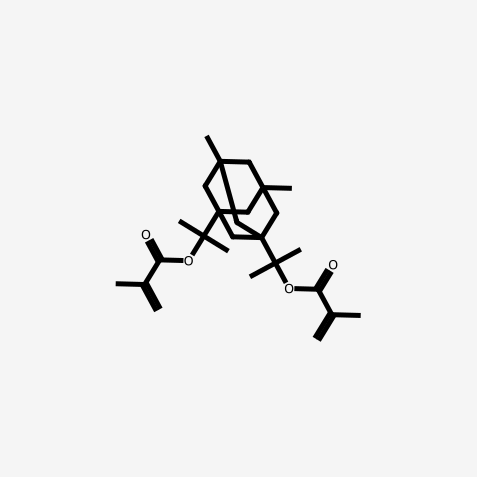 C=C(C)C(=O)OC(C)(C)C12CC3(C)CC(C)(C1)CC(C(C)(C)OC(=O)C(=C)C)(C3)C2